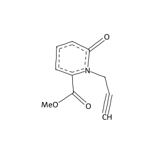 C#CCn1c(C(=O)OC)cccc1=O